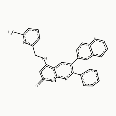 Cc1cccc(CNc2cc(=O)[nH]c3nc(-c4ccccc4)c(-c4ccc5ncccc5c4)cc23)n1